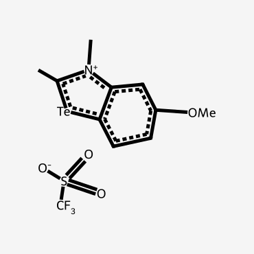 COc1ccc2[te]c(C)[n+](C)c2c1.O=S(=O)([O-])C(F)(F)F